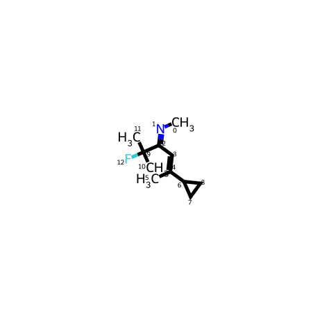 C/N=C(\C=C(/C)C1CC1)C(C)(C)F